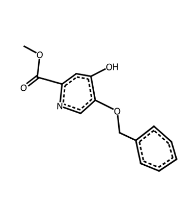 COC(=O)c1cc(O)c(OCc2ccccc2)cn1